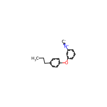 [C-]#[N+]c1cccc(Oc2ccc(CCC)cc2)c1